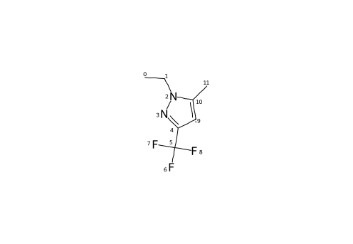 CCn1nc(C(F)(F)F)[c]c1C